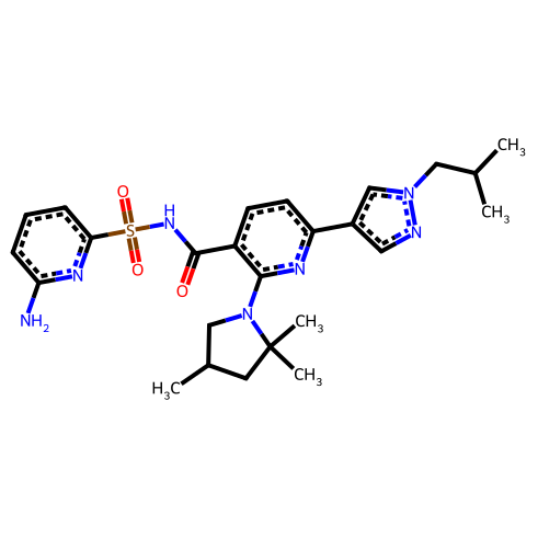 CC(C)Cn1cc(-c2ccc(C(=O)NS(=O)(=O)c3cccc(N)n3)c(N3CC(C)CC3(C)C)n2)cn1